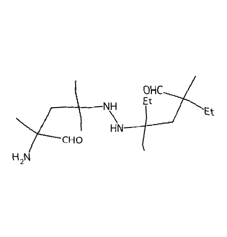 CCC(C)(C=O)CC(C)(CC)NNC(C)(C)CC(C)(N)C=O